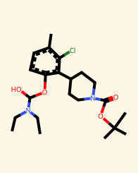 CCN(CC)C(O)Oc1ccc(C)c(Cl)c1C1CCN(C(=O)OC(C)(C)C)CC1